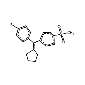 CS(=O)(=O)c1ccc(C(=C2CCCC2)c2ccc(F)cc2)cc1